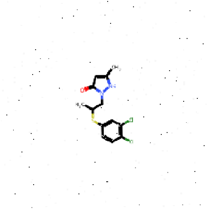 Cc1cc(=O)n(CC(C)Sc2ccc(Cl)c(Cl)c2)[nH]1